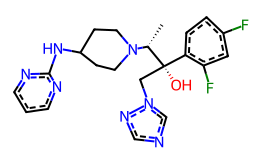 C[C@@H](N1CCC(Nc2ncccn2)CC1)[C@](O)(Cn1cncn1)c1ccc(F)cc1F